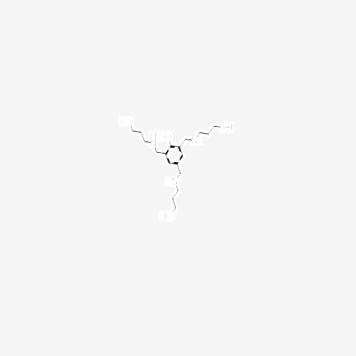 OCCCNCc1cc(CNCCCO)c(O)c(CNCCCO)c1